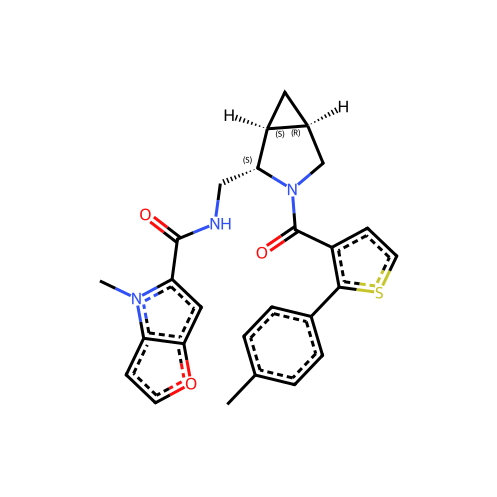 Cc1ccc(-c2sccc2C(=O)N2C[C@@H]3C[C@@H]3[C@H]2CNC(=O)c2cc3occc3n2C)cc1